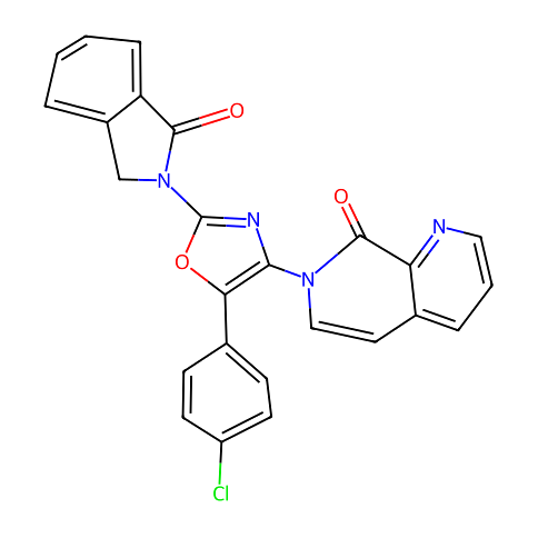 O=C1c2ccccc2CN1c1nc(-n2ccc3cccnc3c2=O)c(-c2ccc(Cl)cc2)o1